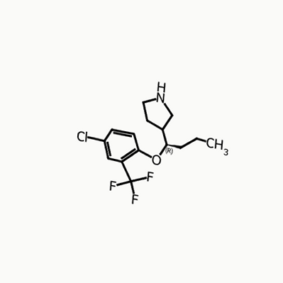 CCC[C@@H](Oc1ccc(Cl)cc1C(F)(F)F)C1CCNC1